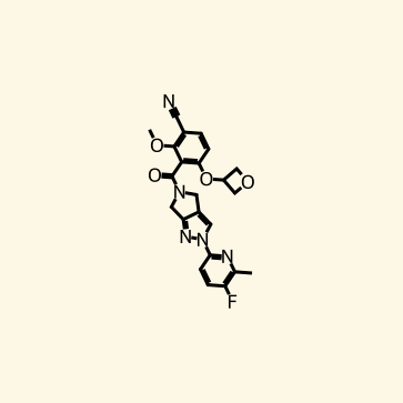 COc1c(C#N)ccc(OC2COC2)c1C(=O)N1Cc2cn(-c3ccc(F)c(C)n3)nc2C1